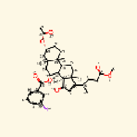 COC(=O)CC[C@@H](C)C1=CC(=O)[C@H]2C3C(CCC12C)[C@@]1(C)CC[C@@H](OC(C)=O)C[C@H]1C[C@H]3OC(=O)c1cccc(I)c1